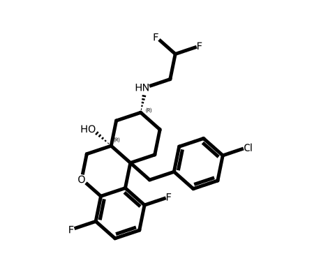 O[C@@]12COc3c(F)ccc(F)c3C1(Cc1ccc(Cl)cc1)CC[C@@H](NCC(F)F)C2